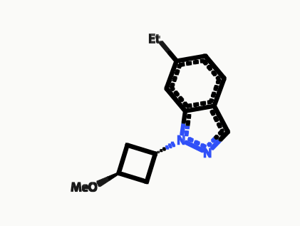 CCc1ccc2cnn([C@H]3C[C@H](OC)C3)c2c1